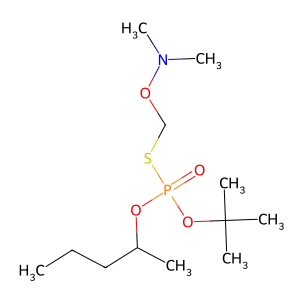 CCCC(C)OP(=O)(OC(C)(C)C)SCON(C)C